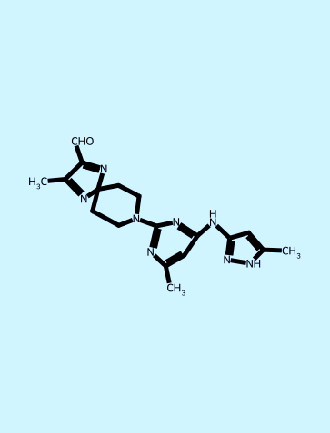 CC1=NC2(CCN(c3nc(C)cc(Nc4cc(C)[nH]n4)n3)CC2)N=C1C=O